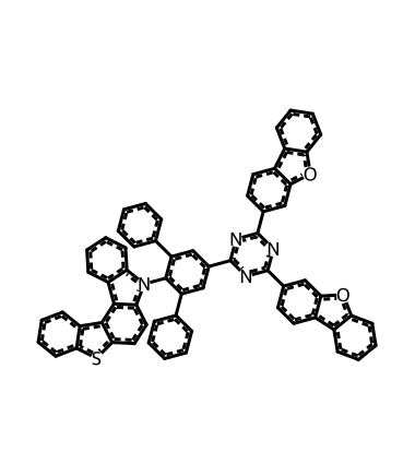 c1ccc(-c2cc(-c3nc(-c4ccc5c(c4)oc4ccccc45)nc(-c4ccc5c(c4)oc4ccccc45)n3)cc(-c3ccccc3)c2-n2c3ccccc3c3c4c(ccc32)sc2ccccc24)cc1